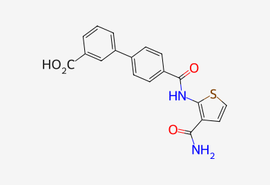 NC(=O)c1ccsc1NC(=O)c1ccc(-c2cccc(C(=O)O)c2)cc1